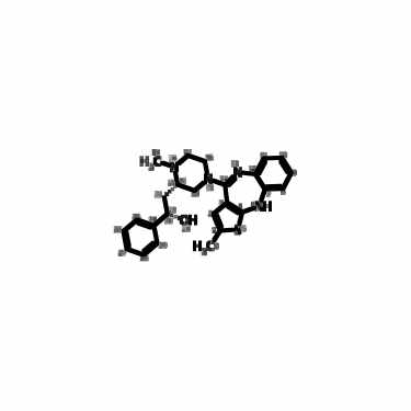 Cc1cc2c(s1)Nc1ccccc1N=C2N1CCN(C)[C@@H](C[C@H](O)c2ccccc2)C1